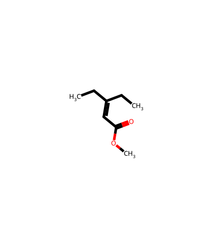 CCC(=CC(=O)OC)CC